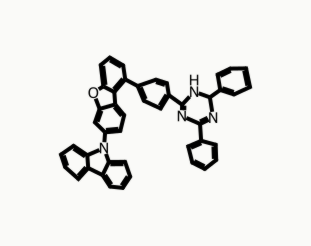 c1ccc(C2=NC(c3ccccc3)NC(c3ccc(-c4cccc5oc6cc(-n7c8ccccc8c8ccccc87)ccc6c45)cc3)=N2)cc1